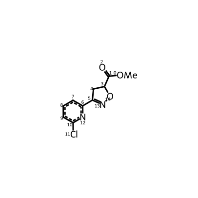 COC(=O)C1CC(c2cccc(Cl)n2)=NO1